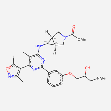 CNCC(O)COc1cccc(-c2nc(N[C@H]3[C@@H]4CN(C(=O)OC)C[C@@H]43)c(C)c(-c3c(C)noc3C)n2)c1